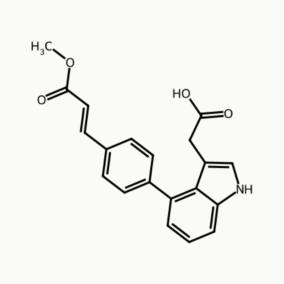 COC(=O)C=Cc1ccc(-c2cccc3[nH]cc(CC(=O)O)c23)cc1